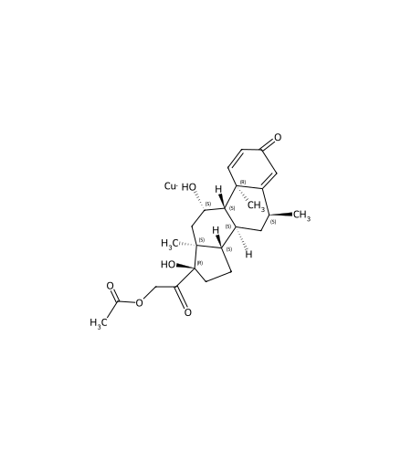 CC(=O)OCC(=O)[C@@]1(O)CC[C@H]2[C@@H]3C[C@H](C)C4=CC(=O)C=C[C@]4(C)[C@H]3[C@@H](O)C[C@@]21C.[Cu]